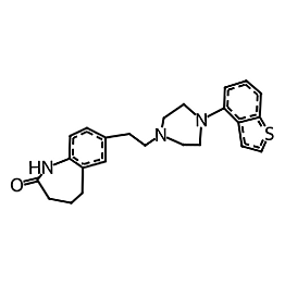 O=C1CCCc2cc(CCN3CCN(c4cccc5sccc45)CC3)ccc2N1